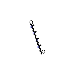 CC(=O)CC/C=C(\C)CC/C=C(\C)CC/C=C(\C)CC/C=C(\C)C=O